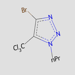 CCCn1nnc(Br)c1C(Cl)(Cl)Cl